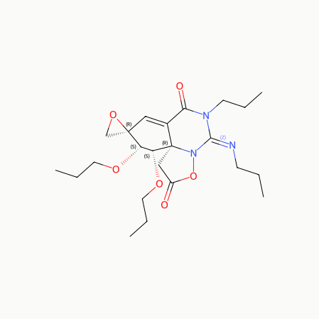 CCC/N=C1/N(CCC)C(=O)C2=C[C@@]3(CO3)[C@@H](OCCC)[C@@H](OCCC)[C@@]23CC(=O)ON13